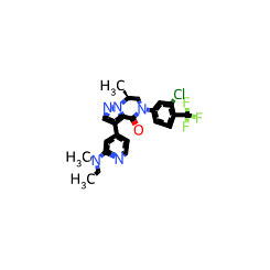 CCN(C)c1cc(-c2cnn3c2C(=O)N(c2ccc(C(F)(F)F)c(Cl)c2)C[C@@H]3C)ccn1